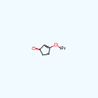 CC(C)OC1=CC(=O)CC1